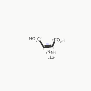 O=C(O)/C=C\C(=O)O.[La].[NaH]